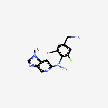 CCc1cc(CN)cc(F)c1N(C)c1cc2c(cn1)ncn2C